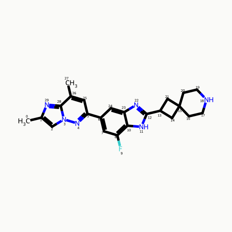 Cc1cn2nc(-c3cc(F)c4[nH]c(C5CC6(CCNCC6)C5)nc4c3)cc(C)c2n1